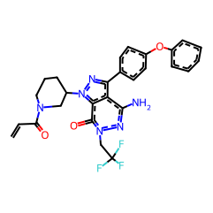 C=CC(=O)N1CCCC(n2nc(-c3ccc(Oc4ccccc4)cc3)c3c(N)nn(CC(F)(F)F)c(=O)c32)C1